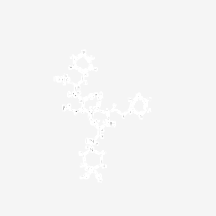 CC(C)C[C@H](NC(=O)[C@H](CCc1ccccc1)NC(=O)CNN1CCS(=O)(=O)CC1)C(=O)N[C@@H](Cc1ccccc1)C(=O)O